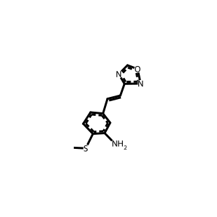 CSc1ccc(C=Cc2ncon2)cc1N